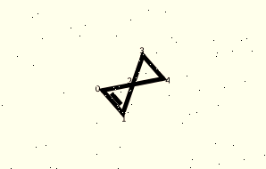 C1=CC12CC2